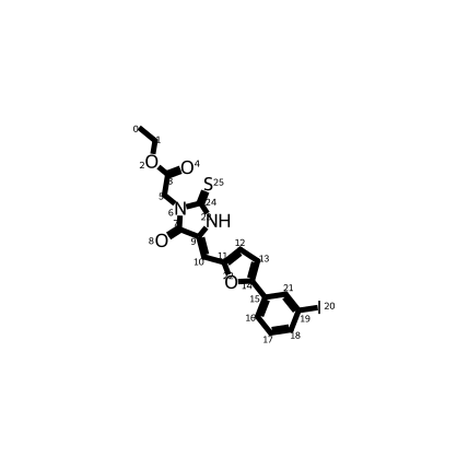 CCOC(=O)CN1C(=O)C(=Cc2ccc(-c3cccc(I)c3)o2)NC1=S